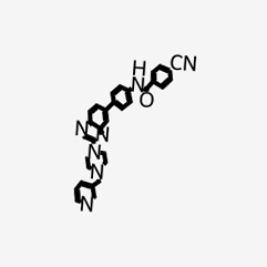 N#Cc1ccc(C(=O)Nc2ccc(-c3ccc4ncc(N5CCN(Cc6cccnc6)CC5)nc4c3)cc2)cc1